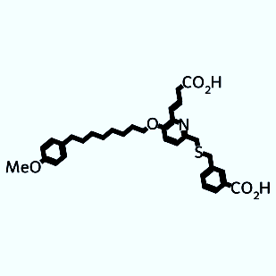 COc1ccc(CCCCCCCCOc2ccc(CSCc3cccc(C(=O)O)c3)nc2C=CCC(=O)O)cc1